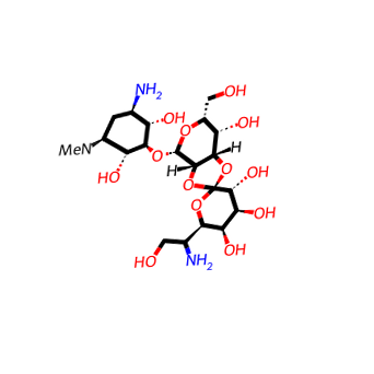 CN[C@H]1C[C@@H](N)[C@H](O)[C@@H](O[C@@H]2O[C@H](CO)[C@H](O)[C@@H]3O[C@]4(O[C@H]23)O[C@H](C(N)CO)[C@H](O)[C@H](O)[C@H]4O)[C@@H]1O